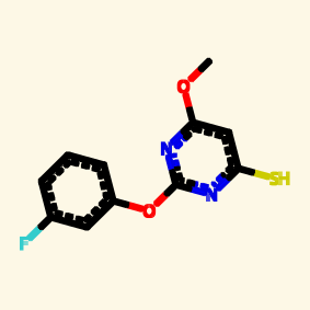 COc1cc(S)nc(Oc2cccc(F)c2)n1